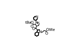 COC(=O)CCn1cc(C(=O)C2CSN(c3cccnc3)C2C(=O)OC(C)(C)C)c2ccccc21